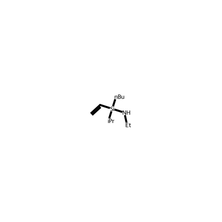 C=C[Si](CCCC)(NCC)C(C)C